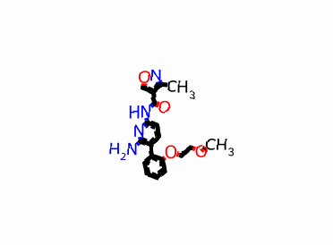 COCCOc1ccccc1-c1ccc(NC(=O)c2conc2C)nc1N